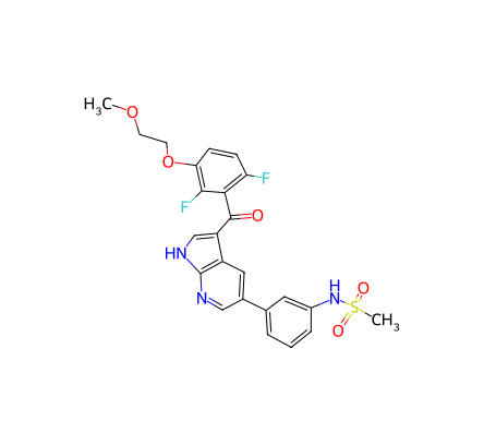 COCCOc1ccc(F)c(C(=O)c2c[nH]c3ncc(-c4cccc(NS(C)(=O)=O)c4)cc23)c1F